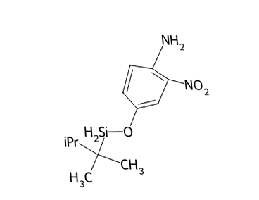 CC(C)C(C)(C)[SiH2]Oc1ccc(N)c([N+](=O)[O-])c1